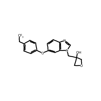 OC1(Cn2cnc3ccc(Oc4ccc(CC(F)(F)F)cc4)cc32)COC1